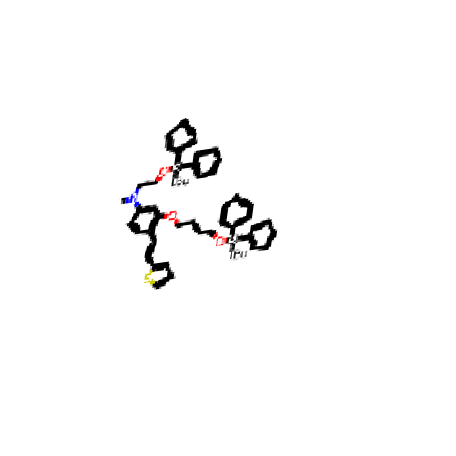 CN(CCO[Si](c1ccccc1)(c1ccccc1)C(C)(C)C)c1ccc(C=Cc2cccs2)c(OCCCCO[Si](c2ccccc2)(c2ccccc2)C(C)(C)C)c1